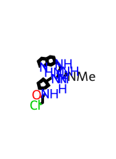 CNC1NC(NCc2cccc(NC(=O)CCl)c2)NC(Nc2ccc3cccnc3c2)N1